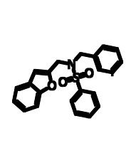 O=S(=O)(c1ccccc1)N(Cc1c[c]ccc1)Cc1cc2ccccc2o1